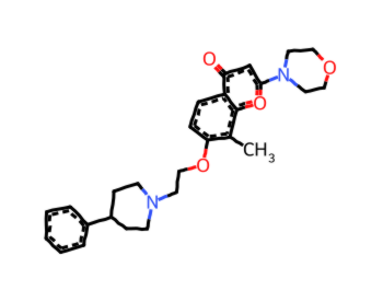 Cc1c(OCCN2CCC(c3ccccc3)CC2)ccc2c(=O)cc(N3CCOCC3)oc12